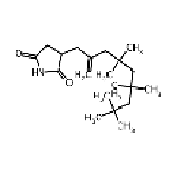 C=C(CC1CC(=O)NC1=O)CC(C)(C)CC(C)(C)CC(C)(C)C